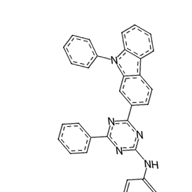 C=CC(=C)Nc1nc(-c2ccccc2)nc(-c2ccc3c4ccccc4n(-c4ccccc4)c3c2)n1